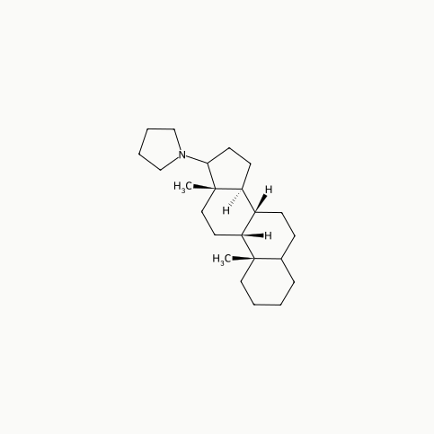 C[C@]12CCCCC1CC[C@@H]1[C@H]2CC[C@]2(C)C(N3CCCC3)CC[C@@H]12